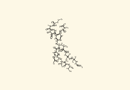 CCCC(=O)NC(C)C(=O)NC(C)C(=O)Nc1cc(C[C@@H](CC(C)C(=O)NCC(C)(C)COC(C)(C)CCN)NC(=O)c2csc([C@@H](CC(C(C)C)N(C)C(=O)C[C@@H](C)CC)OC(C)=O)n2)ccc1OC(=O)C(C)NC